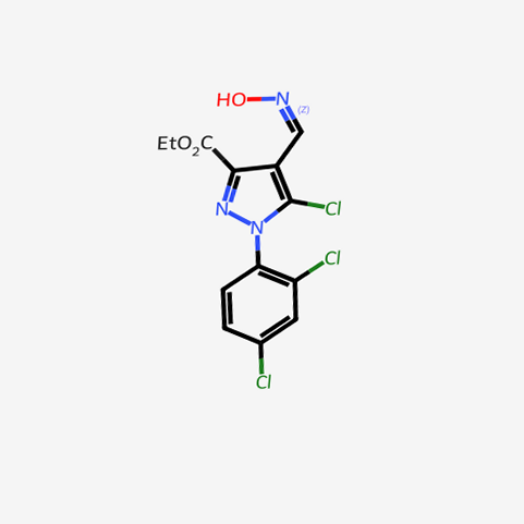 CCOC(=O)c1nn(-c2ccc(Cl)cc2Cl)c(Cl)c1/C=N\O